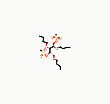 CCCCOC[C@H](OS(C)(=O)=O)[C@@H](OCCCC)[C@@H](COS(C)(=O)=O)OCCCC